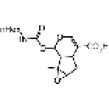 CCCCCCNC(=O)OC1OC=C(C(=O)O)C2CC3OC3(C)C12